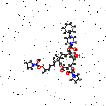 C/C(=C\C=C\[C@@H](C)COC(=O)N1CCCC1)[C@H]1OC(=O)C[C@H](OC(=O)N2CCCC2)CC[C@](C)(O)[C@@H](OC(=O)N2CCN(C3CCCCCC3)CC2)/C=C/[C@@H]1C